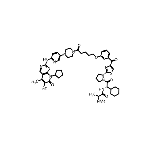 CN[C@@H](C)C(=O)N[C@H](C(=O)N1CCC[C@H]1c1nc(C(=O)c2cccc(OCCCCC(=O)N3CCN(c4ccc(Nc5ncc6c(C)c(C(C)=O)c(=O)n(C7CCCC7)c6n5)nc4)CC3)c2)cs1)C1CCCCC1